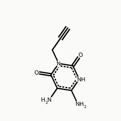 C#CCn1c(=O)[nH]c(N)c(N)c1=O